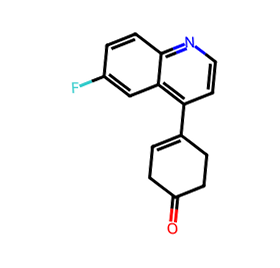 O=C1CC=C(c2ccnc3ccc(F)cc23)CC1